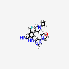 Cc1nc(Nc2cc(C3CCN(C4CCC4)CC3F)c(C)cc2C=N)cc(N2CCOCC2)n1